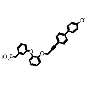 O=C(O)Cc1cccc(Oc2ccccc2OCC#Cc2ccc(-c3ccc(C(F)(F)F)cc3)cc2)c1